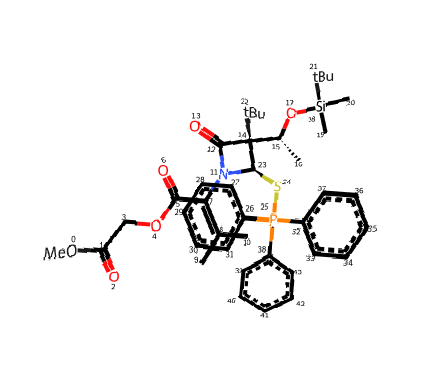 COC(=O)COC(=O)C(=C(C)C)N1C(=O)[C@@]([C@@H](C)O[Si](C)(C)C(C)(C)C)(C(C)(C)C)[C@H]1S[P](c1ccccc1)(c1ccccc1)c1ccccc1